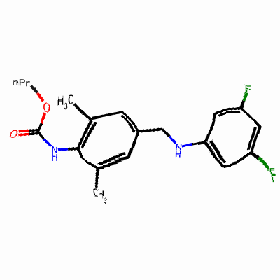 CCCOC(=O)Nc1c(C)cc(CNc2cc(F)cc(F)c2)cc1C